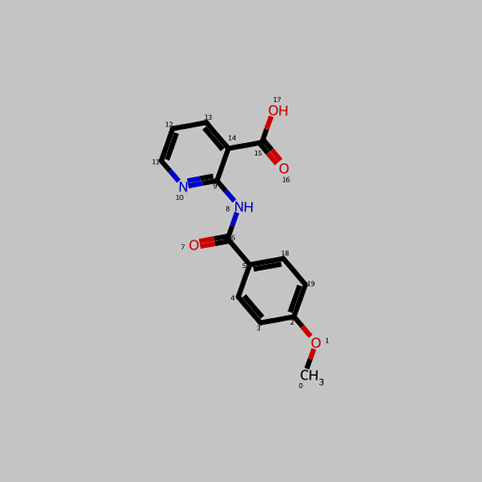 COc1ccc(C(=O)Nc2ncccc2C(=O)O)cc1